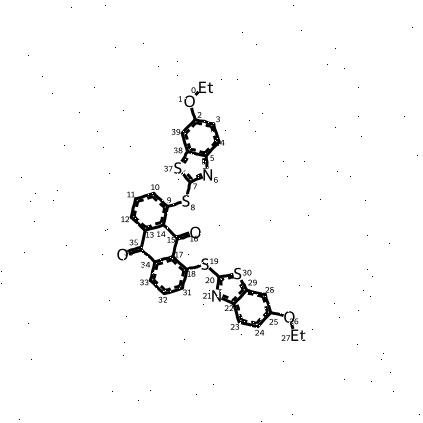 CCOc1ccc2nc(Sc3cccc4c3C(=O)c3c(Sc5nc6ccc(OCC)cc6s5)cccc3C4=O)sc2c1